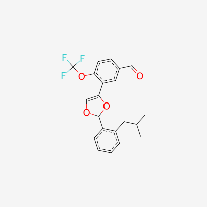 CC(C)Cc1ccccc1C1OC=C(c2cc(C=O)ccc2OC(F)(F)F)O1